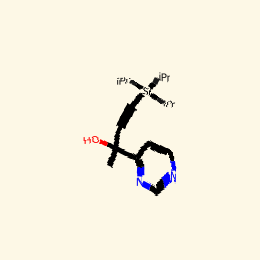 CC(C)[Si](C#CC(C)(O)c1ccncn1)(C(C)C)C(C)C